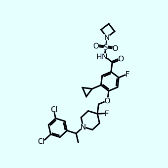 CC(c1cc(Cl)cc(Cl)c1)N1CCC(F)(COc2cc(F)c(C(=O)NS(=O)(=O)N3CCC3)cc2C2CC2)CC1